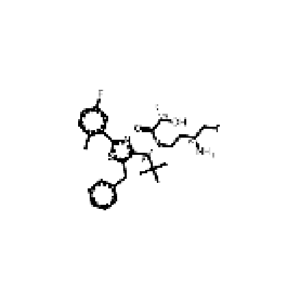 Cc1ccc(F)cc1-c1nc([C@H](N(CC[C@H](N)CF)C(=O)[C@H](C)O)C(C)(C)C)c(Cc2ccccc2)s1